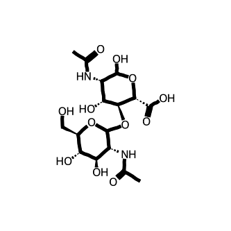 CC(=O)N[C@@H]1C(O)O[C@H](C(=O)O)[C@@H](OC2O[C@H](CO)[C@@H](O)[C@H](O)[C@H]2NC(C)=O)[C@@H]1O